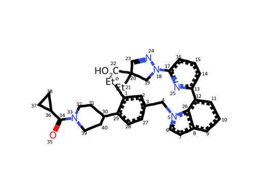 CCc1cc(Cn2ccc3cccc(-c4cccc(N5CC(CC)(C(=O)O)C=N5)n4)c32)ccc1C1CCN(C(=O)C2CC2)CC1